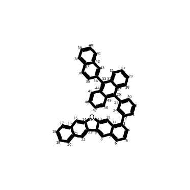 c1cc(-c2cccc3cc4c(cc23)oc2cc3ccccc3cc24)cc(-c2c3ccccc3c(-c3ccc4ccccc4c3)c3ccccc23)c1